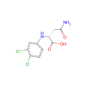 NC(=O)C[C@@H](Nc1ccc(Cl)c(Cl)c1)C(=O)O